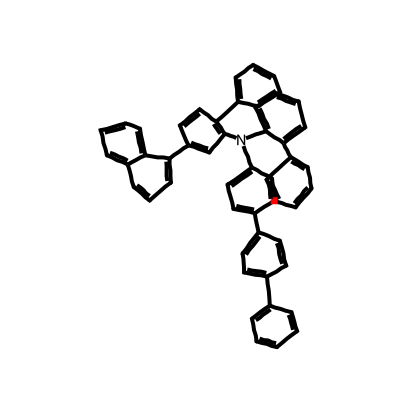 c1ccc(-c2ccc(-c3ccc(N(c4ccccc4-c4ccccc4)c4cc(-c5cccc6ccccc56)ccc4-c4ccccc4)cc3)cc2)cc1